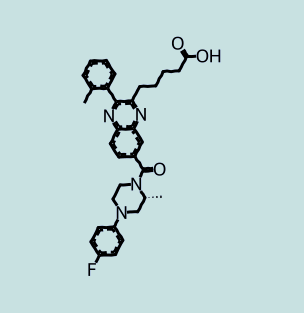 Cc1ccccc1-c1nc2ccc(C(=O)N3CCN(c4ccc(F)cc4)C[C@H]3C)cc2nc1CCCCC(=O)O